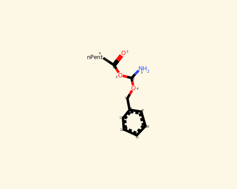 CCCCCC(=O)OC(N)OCc1ccccc1